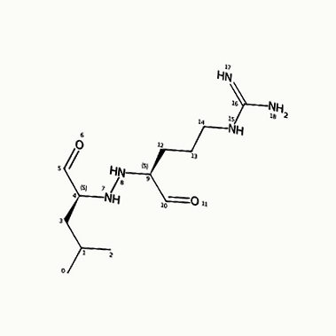 CC(C)C[C@@H](C=O)NN[C@H](C=O)CCCNC(=N)N